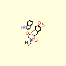 CN1CC(=O)N2C(Cc3cc4c(cc3[C@H]2c2c[nH]c3ccccc23)OCO4)C1=O